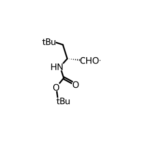 CC(C)(C)C[C@H]([C]=O)NC(=O)OC(C)(C)C